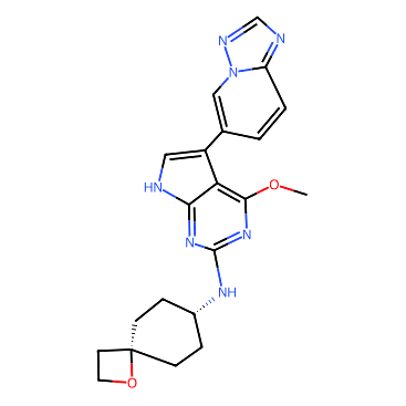 COc1nc(N[C@H]2CC[C@]3(CCO3)CC2)nc2[nH]cc(-c3ccc4ncnn4c3)c12